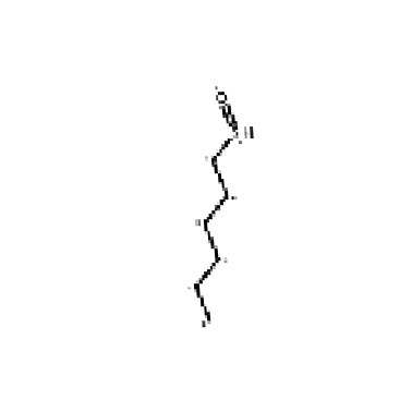 CCCCCC[SiH]=O